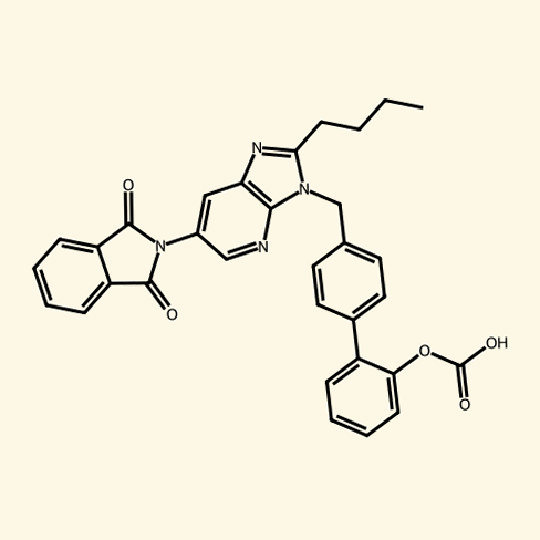 CCCCc1nc2cc(N3C(=O)c4ccccc4C3=O)cnc2n1Cc1ccc(-c2ccccc2OC(=O)O)cc1